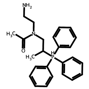 CC(=O)N(CCN)CC(C)[PH](c1ccccc1)(c1ccccc1)c1ccccc1